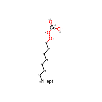 CCCCCCCCCCCCCCO[O][Ge](=[O])[OH]